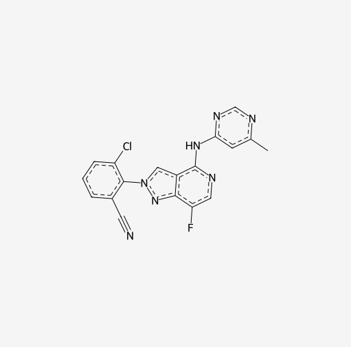 Cc1cc(Nc2ncc(F)c3nn(-c4c(Cl)cccc4C#N)cc23)ncn1